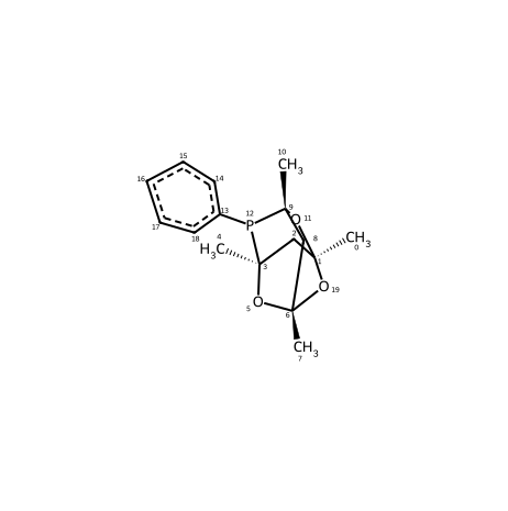 C[C@]12C[C@@]3(C)O[C@](C)(C[C@@](C)(O1)P3c1ccccc1)O2